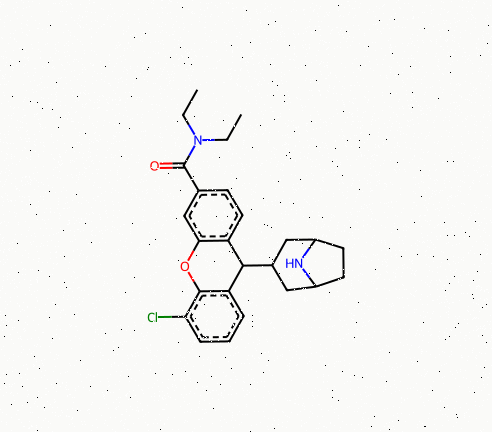 CCN(CC)C(=O)c1ccc2c(c1)Oc1c(Cl)cccc1C2C1CC2CCC(C1)N2